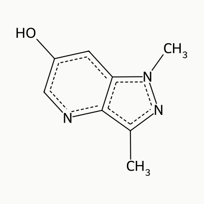 Cc1nn(C)c2cc(O)cnc12